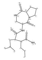 CCCC(C(N)=O)C(CC(C)C)C(=O)NC1CNC(=O)C2CCCN2C1=O